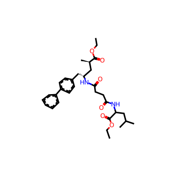 CCOC(=O)C(CC(C)C)NC(=O)CCC(=O)N[C@H](Cc1ccc(-c2ccccc2)cc1)C[C@@H](C)C(=O)OCC